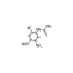 COc1cc(Br)c(NC(=O)C(C)(C)C)cc1[N+](=O)[O-]